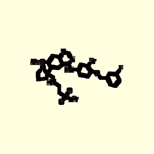 CCCS(=O)(=O)CCNCC1(c2cc3c(Nc4ccc(OCc5cccc(F)c5)c(Br)c4)ncnc3cc2OC)CC=CO1